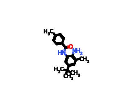 Cc1ccc(C(=O)Nc2cc(C(C)(C)C)cc(C)c2N)cc1